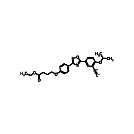 [C-]#[N+]c1cc(-c2nc(-c3ccc(OCCCC(=O)OCC)cc3)no2)ccc1OC(C)C